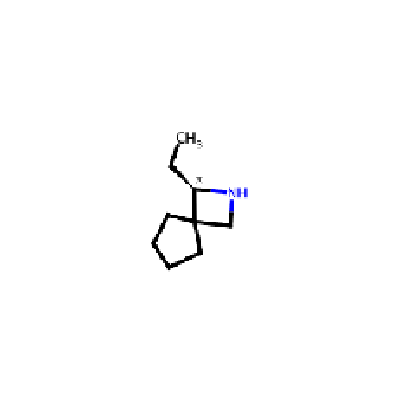 CC[C@H]1NCC12CCCC2